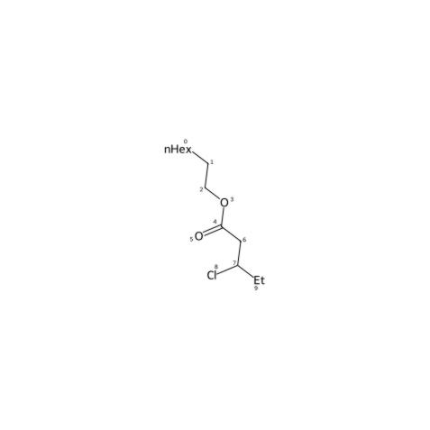 CCCCCCCCOC(=O)CC(Cl)CC